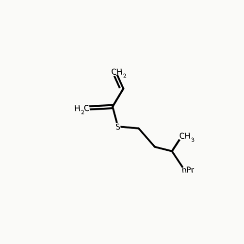 C=CC(=C)SCCC(C)CCC